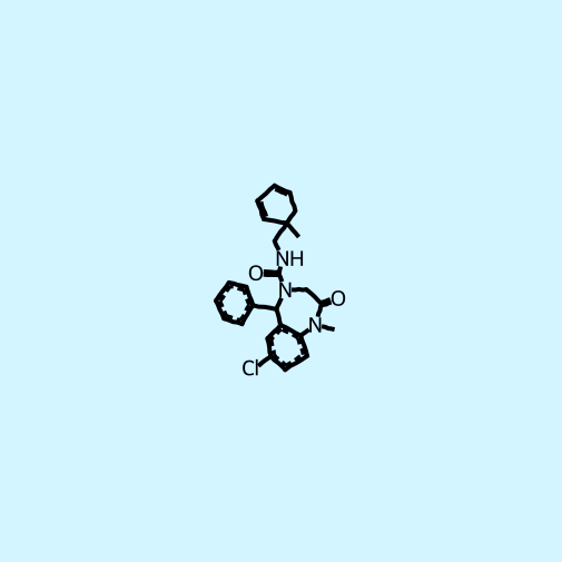 CN1C(=O)CN(C(=O)NCC2(C)C=CC=CC2)C(c2ccccc2)c2cc(Cl)ccc21